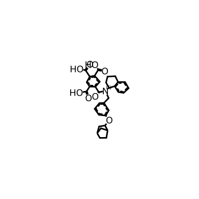 O=C(O)c1cc(C(=O)O)c(C(=O)N(Cc2cccc(OC3CC4CCC3C4)c2)[C@H]2CCCc3ccccc32)cc1C(=O)O